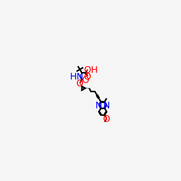 COc1ccc2nc(C#CCCC[C@@H]3C[C@H]3OC(=O)N[C@H](C(=O)O)C(C)(C)C)c(C)nc2c1